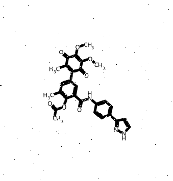 COC1=C(OC)C(=O)C(c2cc(C)c(OC(C)=O)c(C(=O)Nc3ccc(-c4cc[nH]n4)cc3)c2)=C(C)C1=O